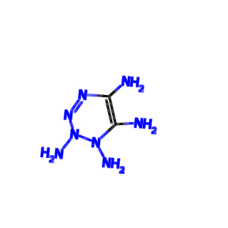 NC1=C(N)N(N)N(N)N=N1